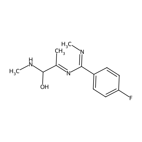 C/N=C(\N=C(/C)C(O)NC)c1ccc(F)cc1